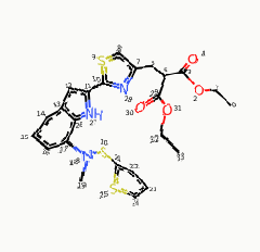 CCOC(=O)C(Cc1csc(-c2cc3cccc(N(C)Sc4cccs4)c3[nH]2)n1)C(=O)OCC